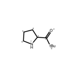 CC(C)(C)C(=O)C1CCCN1